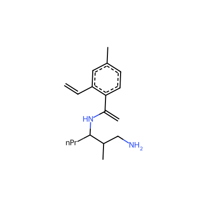 C=Cc1cc(C)ccc1C(=C)NC(CCC)C(C)CN